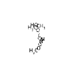 CCOc1ccc(-n2cnc3cc(C=Cc4ccc(C(C)(C)O)cc4)ccc32)cc1